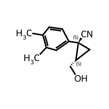 Cc1ccc([C@]2(C#N)C[C@@H]2CO)cc1C